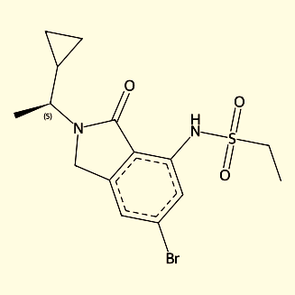 CCS(=O)(=O)Nc1cc(Br)cc2c1C(=O)N([C@@H](C)C1CC1)C2